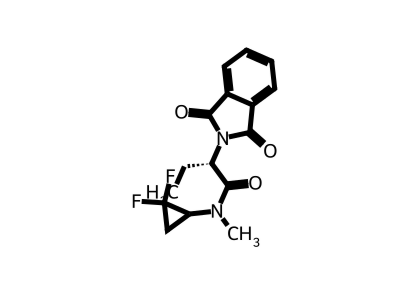 CC[C@@H](C(=O)N(C)C1CC1(F)F)N1C(=O)c2ccccc2C1=O